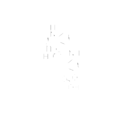 CC1(C)Cc2cc(OC(=O)O)ccc2NC1c1ccc(F)c(NC(=O)C2CCC2)c1